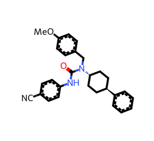 COc1ccc(CN(C(=O)Nc2ccc(C#N)cc2)[C@H]2CC[C@H](c3ccccc3)CC2)cc1